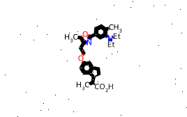 CCN(CC)c1cc(-c2nc(CCOc3ccc4c(c3)CC[C@H]4[C@H](C)C(=O)O)c(C)o2)ccc1C